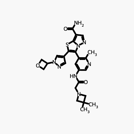 Cc1ncc(NC(=O)CN2CC(C)(C)C2)cc1-c1c(-c2cnn(C3COC3)c2)sc2c(C(N)=O)cnn12